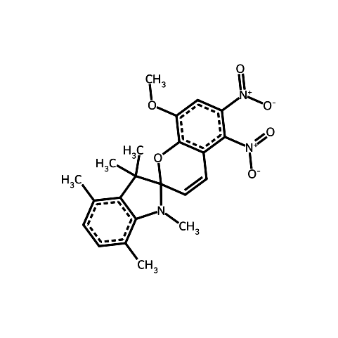 COc1cc([N+](=O)[O-])c([N+](=O)[O-])c2c1OC1(C=C2)N(C)c2c(C)ccc(C)c2C1(C)C